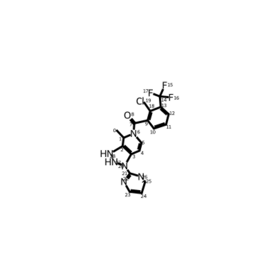 CC1C2=C(C=CN1C(=O)c1cccc(C(F)(F)F)c1Cl)N(c1ncccn1)NN2